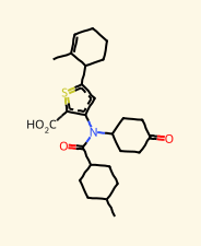 CC1=CCCCC1c1cc(N(C(=O)C2CCC(C)CC2)C2CCC(=O)CC2)c(C(=O)O)s1